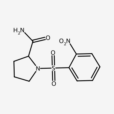 NC(=O)C1CCCN1S(=O)(=O)c1ccccc1[N+](=O)[O-]